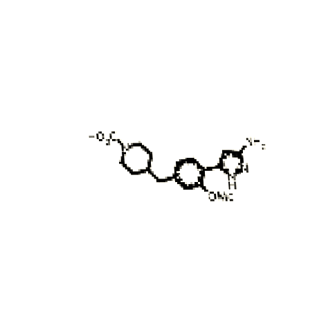 COc1cc(CC2CCN(C(=O)O)CC2)ccc1-c1cc(N)n[nH]1